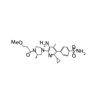 COCCC(=O)N1CCN(c2nc(C3CC3)c(-c3ccc(S(N)(=O)=O)cc3)c(C)c2N)C[C@H]1C